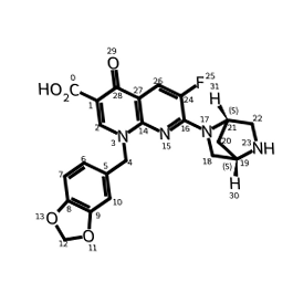 O=C(O)c1cn(Cc2ccc3c(c2)OCO3)c2nc(N3C[C@@H]4C[C@H]3CN4)c(F)cc2c1=O